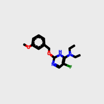 CCN(CC)C1=C(F)C=NC(OCc2cccc(OC)c2)N1